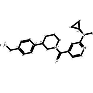 CN(c1cc(C(=O)N2CCCC(c3ccc(CN)cc3)C2)ccn1)C1CC1